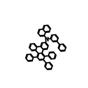 c1ccc(-c2cccc(N(c3ccc4c(c3)c3ccccc3c3c(-c5ccccc5)cc(-c5ccccc5)c(-c5ccccc5)c43)c3cccc4ccccc34)c2)cc1